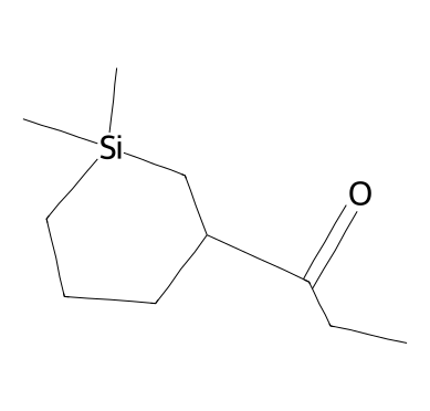 CCC(=O)C1CCC[Si](C)(C)C1